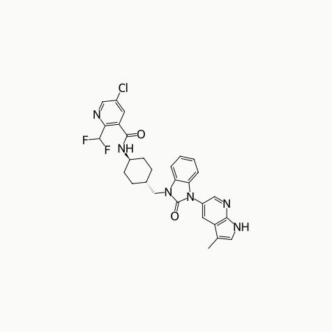 Cc1c[nH]c2ncc(-n3c(=O)n(C[C@H]4CC[C@H](NC(=O)c5cc(Cl)cnc5C(F)F)CC4)c4ccccc43)cc12